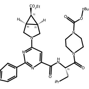 CCCCOC(=O)N1CCN(C(=O)[C@H](CC(C)C)NC(=O)c2cc(N3C[C@@H]4[C@H](C3)[C@@H]4C(=O)OCC)nc(-c3ccccc3)n2)CC1